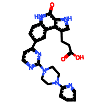 O=C(O)CCc1c[nH]c2c(=O)[nH]c3ccc(-c4ccnc(N5CCN(c6ccccn6)CC5)n4)cc3c12